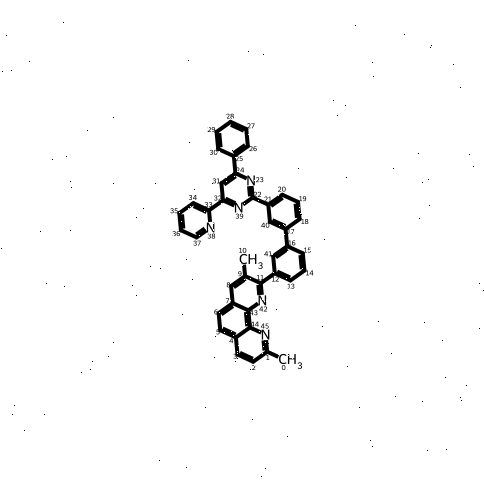 Cc1ccc2ccc3cc(C)c(-c4cccc(-c5cccc(-c6nc(-c7ccccc7)cc(-c7ccccn7)n6)c5)c4)nc3c2n1